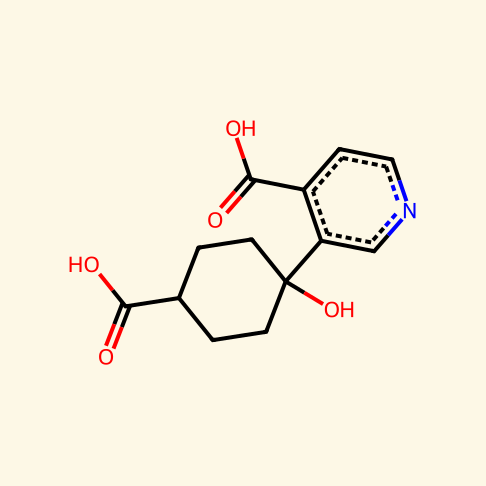 O=C(O)c1ccncc1C1(O)CCC(C(=O)O)CC1